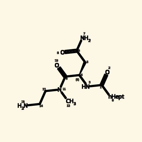 CCCCCCCC(=O)N[C@H](CC(N)=O)C(=O)N(C)CCN